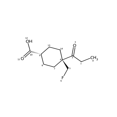 CCC(=O)[C@]1(CF)CC[C@H](C(=O)O)CC1